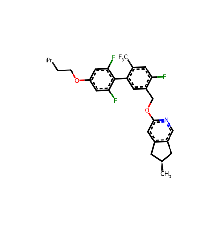 CC(C)CCOc1cc(F)c(-c2cc(COc3cc4c(cn3)C[C@@H](C)C4)c(F)cc2C(F)(F)F)c(F)c1